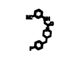 N#Cc1cccc(NCC(=O)N2CCC(Cc3ccc(F)cc3)CC2)c1